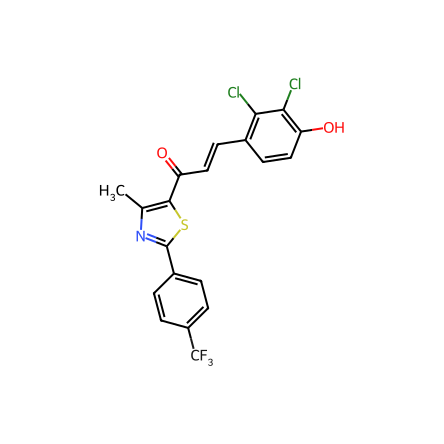 Cc1nc(-c2ccc(C(F)(F)F)cc2)sc1C(=O)C=Cc1ccc(O)c(Cl)c1Cl